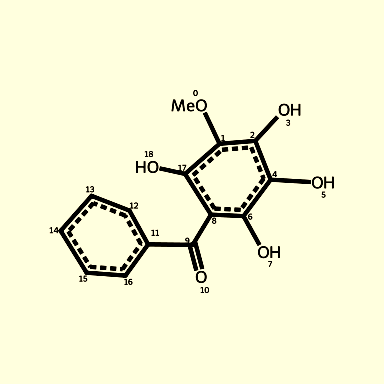 COc1c(O)c(O)c(O)c(C(=O)c2ccccc2)c1O